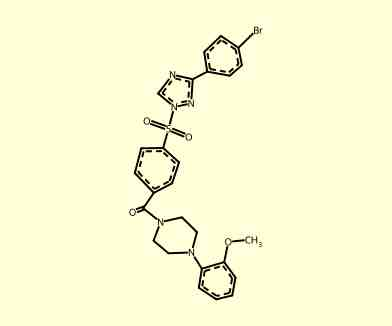 COc1ccccc1N1CCN(C(=O)c2ccc(S(=O)(=O)n3cnc(-c4ccc(Br)cc4)n3)cc2)CC1